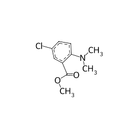 COC(=O)c1cc(Cl)ccc1N(C)C